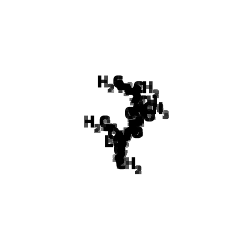 C=CCCC(=C)CCN1C(=O)N(CCC(=O)CCC(CC)(COCC=C)COCC=C)C(=O)C1(C)C